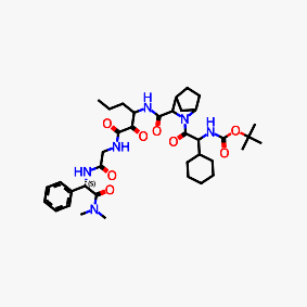 CCCC(NC(=O)C1C2CCC(C2)N1C(=O)C(NC(=O)OC(C)(C)C)C1CCCCC1)C(=O)C(=O)NCC(=O)N[C@H](C(=O)N(C)C)c1ccccc1